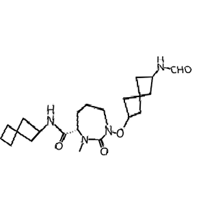 CN1C(=O)N(OC2CC3(CC(NC=O)C3)C2)CCC[C@H]1C(=O)NC1CC2(CCC2)C1